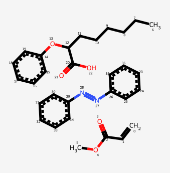 C=CC(=O)OC.CCCCCCC(Oc1ccccc1)C(=O)O.c1ccc(N=Nc2ccccc2)cc1